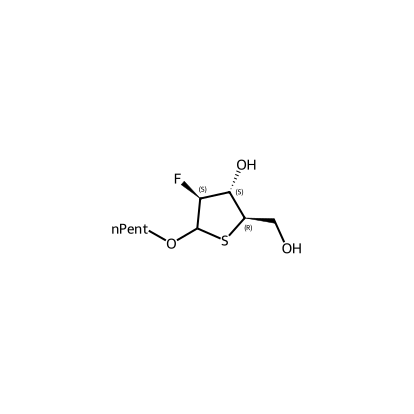 CCCCCOC1S[C@H](CO)[C@@H](O)[C@@H]1F